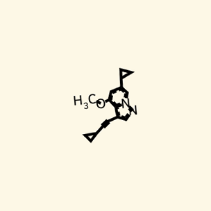 COc1cc(C2CC2)cn2ncc(C#CC3CC3)c12